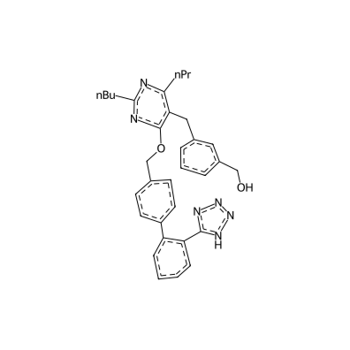 CCCCc1nc(CCC)c(Cc2cccc(CO)c2)c(OCc2ccc(-c3ccccc3-c3nnn[nH]3)cc2)n1